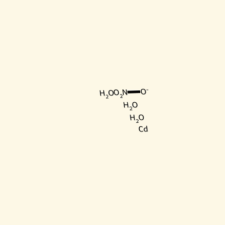 O.O.O.O=[N+]([O-])[O-].[Cd]